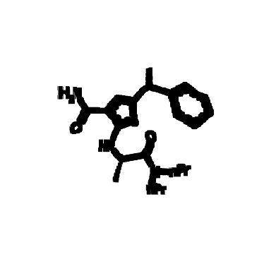 CCCN(CCC)C(=O)[C@H](C)Nc1sc(C(C)c2ccccc2)cc1C(N)=O